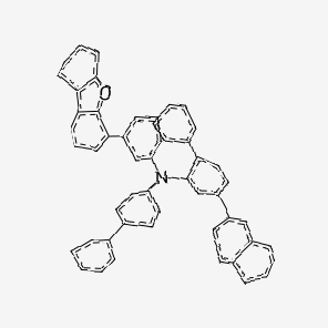 c1ccc(-c2ccc(N(c3cccc(-c4cccc5c4oc4ccccc45)c3)c3cc(-c4ccc5ccccc5c4)ccc3-c3ccccc3)cc2)cc1